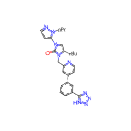 CCCCc1cn(-c2ccnn2CCC)c(=O)n1Cc1cc(-c2cccc(-c3nnn[nH]3)c2)ccn1